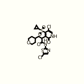 O=C(Nc1ncc(Cl)s1)C(CC1CCOCC1)c1c(S(=O)(=O)C2CC2)c(Cl)c[nH]c1=O